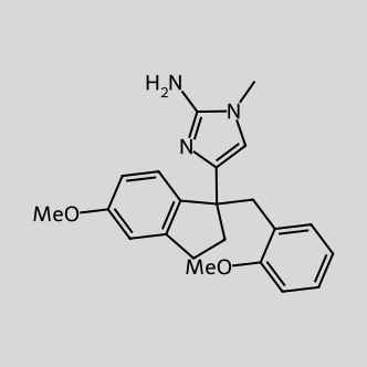 COc1ccc2c(c1)CCC2(Cc1ccccc1OC)c1cn(C)c(N)n1